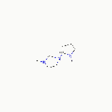 CN1CCN([C@@H]2CCCN2C)C1